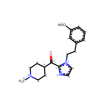 COc1cccc(CCn2ccnc2C(=O)C2CCN(C)CC2)c1